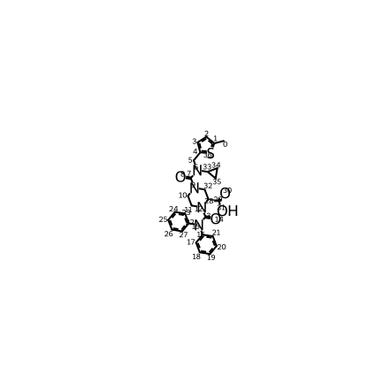 Cc1ccc(CN(C(=O)N2CCN(C(=O)N(c3ccccc3)c3ccccc3)[C@H](C(=O)O)C2)C2CC2)s1